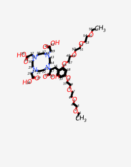 CCOCCOCCOCCOc1ccc(CC(C(=O)O)N2CCN(CC(=O)O)CCN(CC(=O)O)CCN(CC(=O)O)CC2)c(OCCOCCOCCOCC)c1